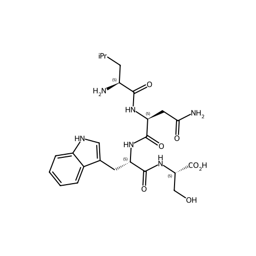 CC(C)C[C@H](N)C(=O)N[C@@H](CC(N)=O)C(=O)N[C@@H](Cc1c[nH]c2ccccc12)C(=O)N[C@@H](CO)C(=O)O